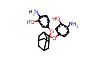 Nc1ccc(OC2(Oc3ccc(N)c(O)c3)C3CC4CC(C3)CC2C4)cc1O